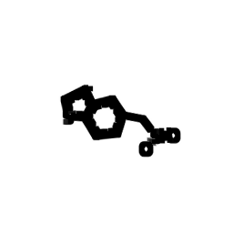 O=[SH](=O)Cc1ccc2sc[c]c2c1